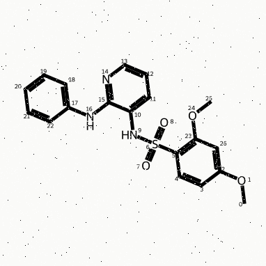 COc1ccc(S(=O)(=O)Nc2cccnc2Nc2ccccc2)c(OC)c1